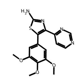 COc1cc(-c2sc(N)nc2-c2ccncn2)cc(OC)c1OC